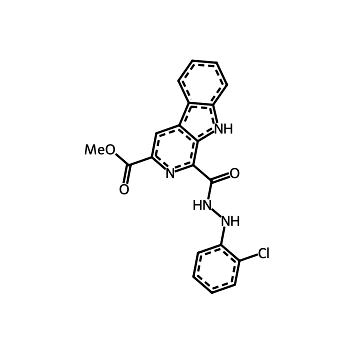 COC(=O)c1cc2c([nH]c3ccccc32)c(C(=O)NNc2ccccc2Cl)n1